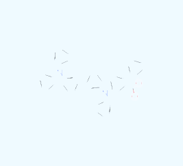 O=c1oc2ccccc2c2cc3c4ccc(-c5ccc6c7ccccc7n(-c7ccccc7)c6c5)cc4n(-c4ccccc4)c3cc12